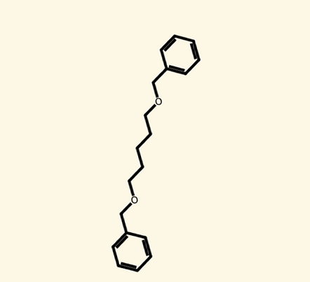 c1ccc(COCCCCCOCc2ccccc2)cc1